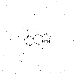 Fc1cccc(F)c1Cn1ccnn1